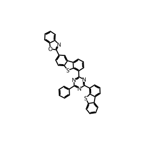 c1ccc(-c2nc(-c3cccc4c3sc3ccccc34)nc(-c3cccc4c3sc3ccc(-c5nc6ccccc6o5)cc34)n2)cc1